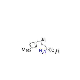 CCC(CCC(N)C(=O)O)Cc1ccc(OC)cc1